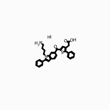 I.NCCCCn1c(-c2ccccc2)cc2ccc(C(=O)c3cc(CC(=O)O)c(-c4ccccc4)s3)cc21